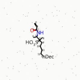 C=CC(=O)NC(C)C(C)(CCCCCCCCCCCCCC)S(=O)(=O)O